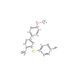 CC(C)c1ccc(Sc2cc(-c3ccc(OC(F)(F)F)cc3)ccc2C=O)cc1